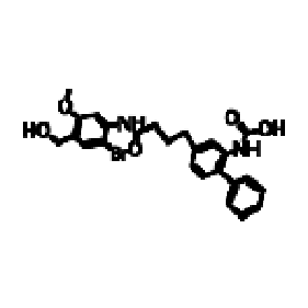 COc1cc(NC(=O)CCCc2ccc(-c3ccccc3)c(NC(=O)O)c2)c(Br)cc1CO